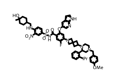 COc1ccc(CN2CCN(C3CC4(C3)CN(c3cc(Oc5cnc6[nH]ccc6c5)c(C(=O)NS(=O)(=O)c5ccc(NCC6CCC(C)(O)CC6)c([N+](=O)[O-])c5)cc3F)C4)C(c3ccccc3C(C)C)C2)cc1